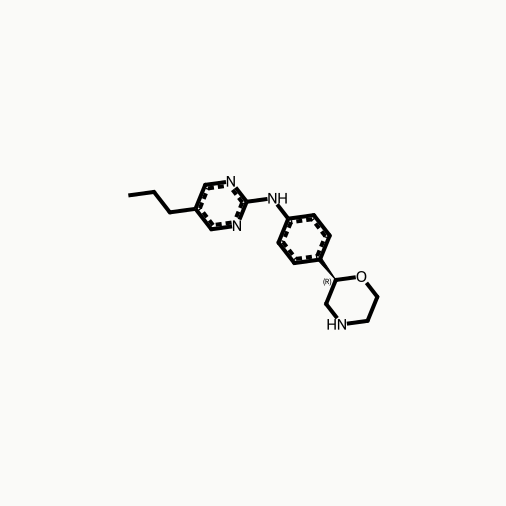 CCCc1cnc(Nc2ccc([C@@H]3CNCCO3)cc2)nc1